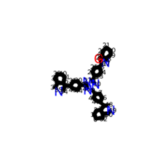 c1ccc2c(-c3ccc(-c4nc(-c5ccc(-c6nc7ccccc7o6)cc5)nc(-c5ccc(-c6cncc7ccccc67)cc5)n4)cc3)cncc2c1